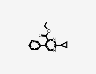 CCOC(=O)c1nc(C2CC2)ncc1-c1ccccc1